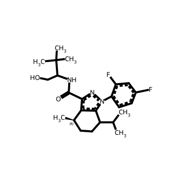 CC(C)C1CC[C@@H](C)c2c(C(=O)NC(CO)C(C)(C)C)nn(-c3ccc(F)cc3F)c21